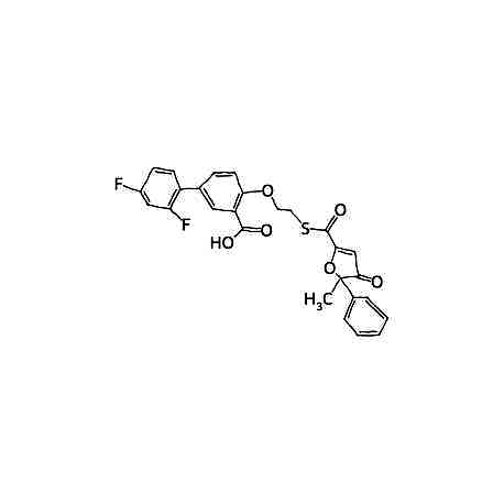 CC1(c2ccccc2)OC(C(=O)SCCOc2ccc(-c3ccc(F)cc3F)cc2C(=O)O)=CC1=O